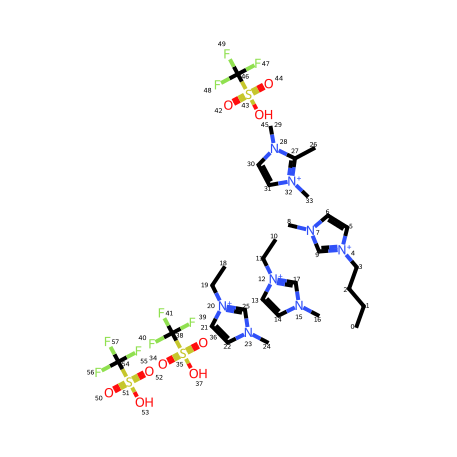 CCCC[n+]1ccn(C)c1.CC[n+]1ccn(C)c1.CC[n+]1ccn(C)c1.Cc1n(C)cc[n+]1C.O=S(=O)(O)C(F)(F)F.O=S(=O)(O)C(F)(F)F.O=S(=O)(O)C(F)(F)F